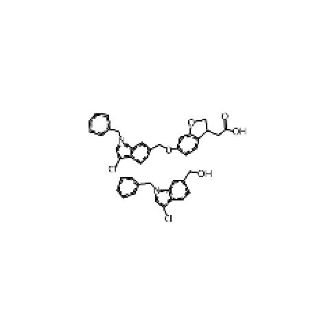 O=C(O)CC1COc2cc(OCc3ccc4c(Cl)cn(Cc5ccccc5)c4c3)ccc21.OCc1ccc2c(Cl)cn(Cc3ccccc3)c2c1